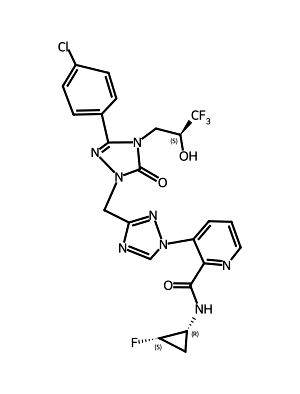 O=C(N[C@@H]1C[C@@H]1F)c1ncccc1-n1cnc(Cn2nc(-c3ccc(Cl)cc3)n(C[C@H](O)C(F)(F)F)c2=O)n1